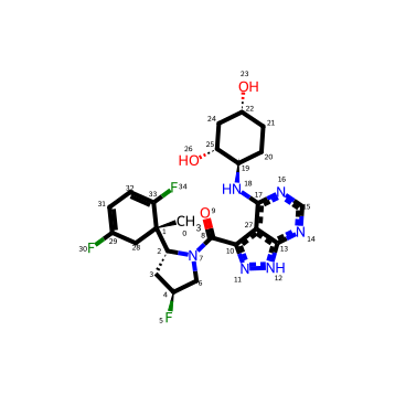 C[C@@]1([C@H]2C[C@H](F)CN2C(=O)c2n[nH]c3ncnc(N[C@@H]4CC[C@@H](O)C[C@H]4O)c23)CC(F)=CC=C1F